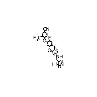 N#Cc1ccc(Oc2ccc(/C=C3/SC(NCc4nnn[nH]4)=NC3=O)cc2F)c(C(F)(F)F)c1